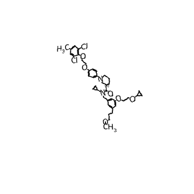 COCCCc1cc(CN(C(=O)[C@@H]2CCCN(c3ccc(OCCOc4c(Cl)cc(C)cc4Cl)cc3)C2)C2CC2)cc(OCCOC2CC2)c1